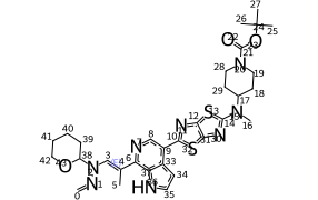 C=NN(/C=C(\C)c1ncc(-c2nc3sc(N(C)C4CCN(C(=O)OC(C)(C)C)CC4)nc3s2)c2cc[nH]c12)C1CCCCO1